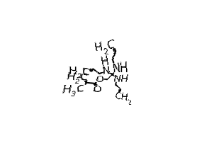 C=CCNC(COC(=O)C(=C)C)(NCC=C)NCC=C